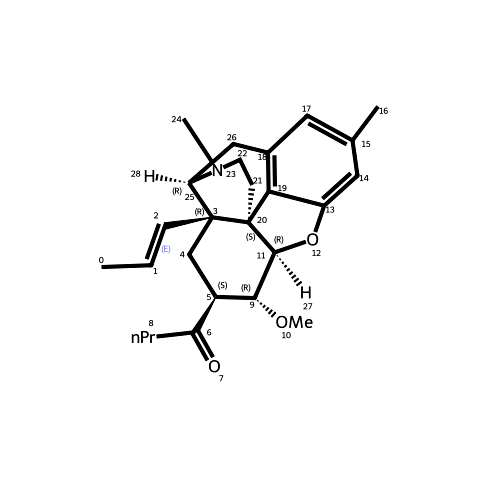 C/C=C/[C@]12C[C@H](C(=O)CCC)[C@@H](OC)[C@@H]3Oc4cc(C)cc5c4[C@@]31CCN(C)[C@@H]2C5